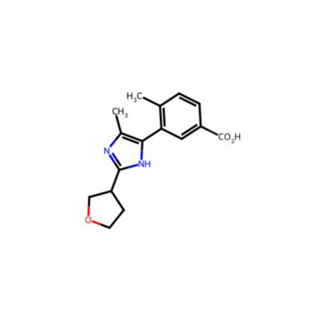 Cc1ccc(C(=O)O)cc1-c1[nH]c(C2CCOC2)nc1C